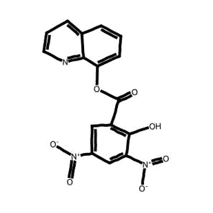 O=C(Oc1cccc2cccnc12)c1cc([N+](=O)[O-])cc([N+](=O)[O-])c1O